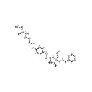 C=CC[C@]1(CCCc2ccccc2)C[C@@H](COc2ccc(CCCCCNC(=O)OC(C)(C)C)cc2)NC1=O